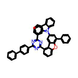 c1ccc(-c2ccc(-c3nc(-c4ccccc4)nc(-c4cccc5oc6c(-c7ccccc7)cc(-n7c8ccccc8c8ccccc87)cc6c45)n3)cc2)cc1